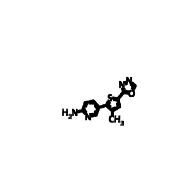 Cc1cc(-c2nnco2)sc1-c1ccc(N)nc1